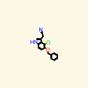 N#CCc1c[nH]c2ccc(OCc3ccccc3)c(Cl)c12